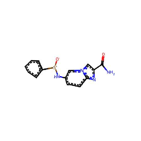 NC(=O)c1cn2cc(N[S+]([O-])c3ccccc3)ccc2n1